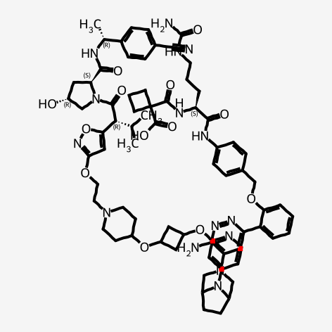 CC(C)[C@@H](C(=O)N1C[C@H](O)C[C@H]1C(=O)N[C@H](C)c1ccc(C#N)cc1)c1cc(OCCN2CCC(OC3CC(Oc4cc(N5C6CCC5CN(c5cc(-c7ccccc7OCc7ccc(NC(=O)[C@H](CCCNC(N)=O)NC(=O)C8(C(=O)O)CCC8)cc7)nnc5N)C6)ccn4)C3)CC2)no1